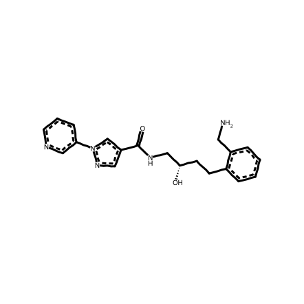 NCc1ccccc1CC[C@H](O)CNC(=O)c1cnn(-c2cccnc2)c1